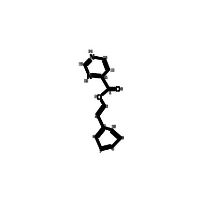 O=C(OC=Cc1ccccc1)c1ccncn1